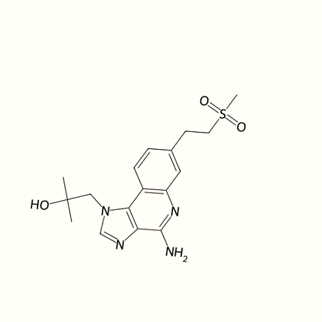 CC(C)(O)Cn1cnc2c(N)nc3cc(CCS(C)(=O)=O)ccc3c21